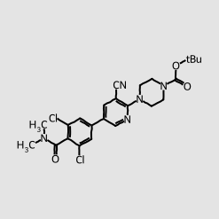 CN(C)C(=O)c1c(Cl)cc(-c2cnc(N3CCN(C(=O)OC(C)(C)C)CC3)c(C#N)c2)cc1Cl